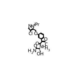 Cc1oc2ccc(OCc3c(Cl)cnn3C(C)C)cc2c1C(=O)N[C@@H](CO)C(N)=O